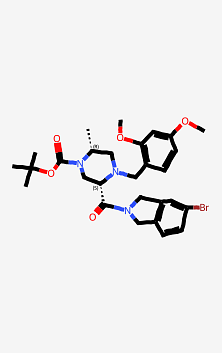 COc1ccc(CN2C[C@@H](C)N(C(=O)OC(C)(C)C)C[C@H]2C(=O)N2Cc3ccc(Br)cc3C2)c(OC)c1